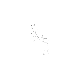 CC12CN(C3CCC(=O)NC3=O)C(=O)C1=CC=CC2NCc1cc(OCCN2CCOCC2)ccc1F